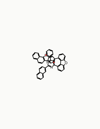 c1ccc(-c2nc(-c3ccc4ccccc4c3)nc(-c3cccc4oc5cccc(-c6ccc7c(c6)oc6c8ccccc8ccc76)c5c34)n2)cc1